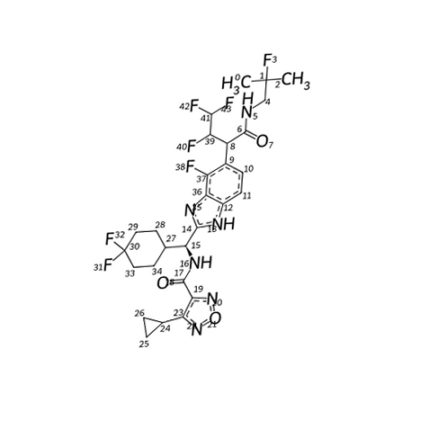 CC(C)(F)CNC(=O)C(c1ccc2[nH]c([C@@H](NC(=O)c3nonc3C3CC3)C3CCC(F)(F)CC3)nc2c1F)C(F)C(F)F